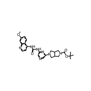 COc1ccc2c(NC(=O)Nc3cncc(N4CC5CN(C(=O)OC(C)(C)C)CC5C4)n3)ccnc2c1